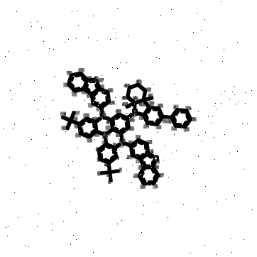 CC(C)(C)c1ccc2c(c1)N(c1ccc3oc4ccccc4c3c1)c1cc(N3c4ccc(-c5ccccc5)cc4C4(C)CCCCC34C)cc3c1B2c1ccc(C(C)(C)C)cc1N3c1ccc2sc3ccccc3c2c1